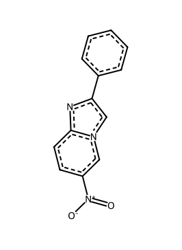 O=[N+]([O-])c1ccc2nc(-c3ccccc3)cn2c1